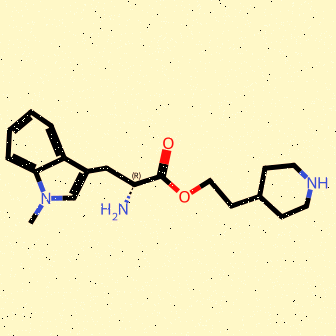 Cn1cc(C[C@@H](N)C(=O)OCCC2CCNCC2)c2ccccc21